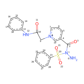 NN(C(=O)c1ccc[n+](CC(=O)Nc2ccccc2)c1)S(=O)(=O)c1ccccc1